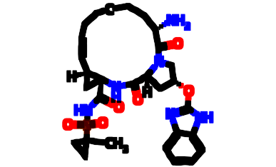 CC1(S(=O)(=O)NC(=O)[C@@]23C[C@H]2/C=C\CCCCC[C@H](N)C(=O)N2C[C@H](Oc4nc5ccccc5[nH]4)C[C@H]2C(=O)N3)CC1